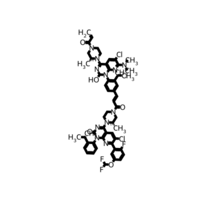 C=CC(=O)N1CCN(C2=NC(O)N(c3ccc(C=CC(=O)N4CCN(c5nc(=O)n(-c6ccccc6C(C)C)c6nc(-c7cc(OC(F)F)ccc7F)c(Cl)cc56)[C@@H](C)C4)cc3C(C)C)c3nc(N(C)C)c(Cl)cc32)[C@@H](C)C1